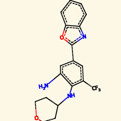 Nc1cc(-c2nc3ccccc3o2)cc(C(F)(F)F)c1NC1CCOCC1